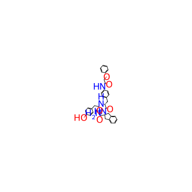 NC(=O)C1(NC(=O)[C@H](Cc2ccc(NC(=O)COc3ccccc3)cc2)NC(=O)Cc2ccc(O)cc2)Cc2ccccc2C1